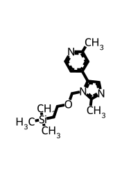 Cc1cc(-c2cnc(C)n2COCC[Si](C)(C)C)ccn1